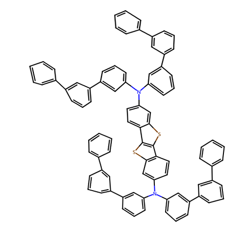 c1ccc(-c2cccc(-c3cccc(N(c4cccc(-c5cccc(-c6ccccc6)c5)c4)c4ccc5c(c4)sc4c6ccc(N(c7cccc(-c8cccc(-c9ccccc9)c8)c7)c7cccc(-c8cccc(-c9ccccc9)c8)c7)cc6sc54)c3)c2)cc1